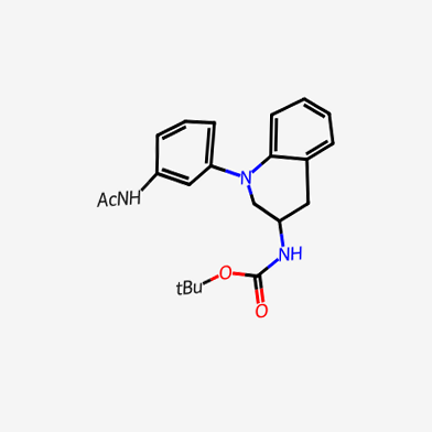 CC(=O)Nc1cccc(N2CC(NC(=O)OC(C)(C)C)Cc3ccccc32)c1